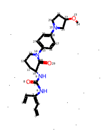 C=C/C=C(\C=C)NC(=O)N[C@@H]1CCCN(c2ccc(N3CCC(OC)C3)cc2)C1=O